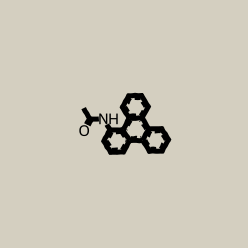 CC(=O)Nc1cccc2c3ccccc3c3ccccc3c12